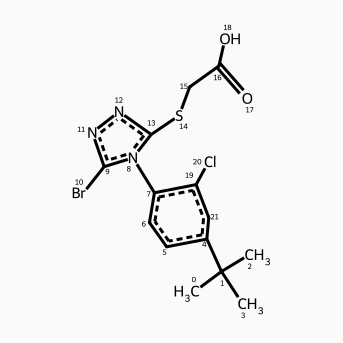 CC(C)(C)c1ccc(-n2c(Br)nnc2SCC(=O)O)c(Cl)c1